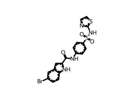 O=C(Nc1ccc(S(=O)(=O)Nc2nccs2)cc1)c1cc2cc(Br)ccc2[nH]1